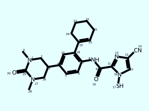 CN1CC(c2ccc(NC(=O)c3nc(C#N)cn3S)c(C3=CCCCC3)c2)CN(C)C1=O